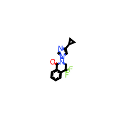 O=C1c2ccccc2C(F)(F)CN1n1cnc(C2CC2)c1